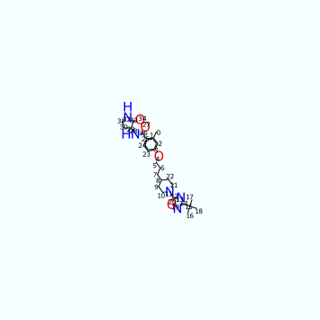 Cc1cc(OCCCC2CCN(c3nc(C(C)(C)C)no3)CC2)ccc1C(=O)NC1CCNC1=O